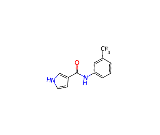 O=C(Nc1cccc(C(F)(F)F)c1)c1cc[nH]c1